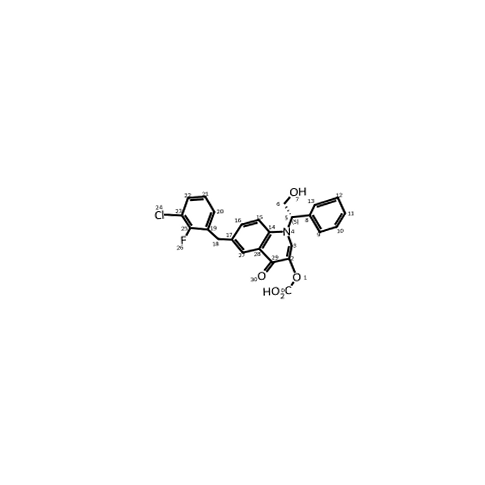 O=C(O)Oc1cn([C@H](CO)c2ccccc2)c2ccc(Cc3cccc(Cl)c3F)cc2c1=O